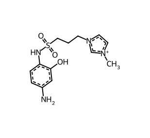 C[n+]1ccn(CCCS(=O)(=O)Nc2ccc(N)cc2O)c1